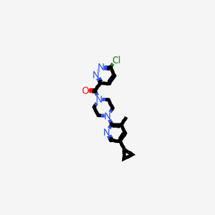 Cc1cc(C2CC2)cnc1N1CCN(C(=O)c2ccc(Cl)nn2)CC1